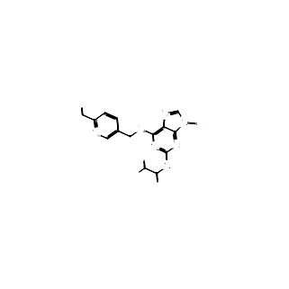 CCC(Nc1nc(NCc2ccc(CF)nc2)c2ncn(C(C)C)c2n1)C(O)C(F)(F)F